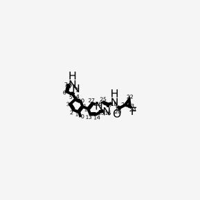 Cc1ccc(-c2cc[nH]n2)cc1-c1ccc2nc(NC(=O)C3CC3F)cn2c1